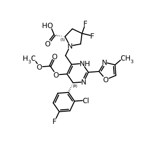 COC(=O)OC1=C(CN2CC(F)(F)C[C@H]2C(=O)O)NC(c2nc(C)co2)=N[C@@H]1c1ccc(F)cc1Cl